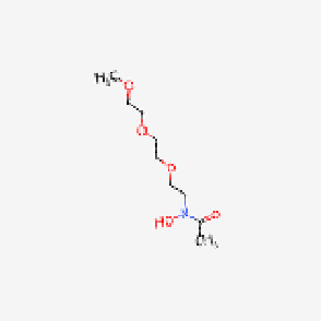 COCCOCCOCCN(O)C(C)=O